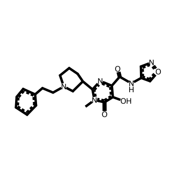 Cn1c(C2CCCN(CCc3ccccc3)C2)nc(C(=O)Nc2cnoc2)c(O)c1=O